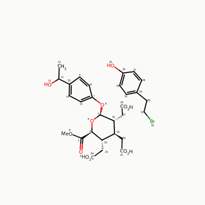 COC(=O)[C@H]1O[C@@H](Oc2ccc(C(C)O)cc2)[C@H](CC(=O)O)[C@@H](CC(=O)O)[C@@H]1CC(=O)O.Oc1ccc(CCBr)cc1